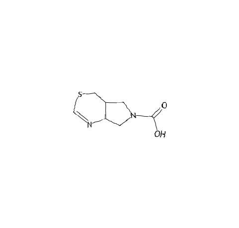 O=C(O)N1CC2CSC=NC2C1